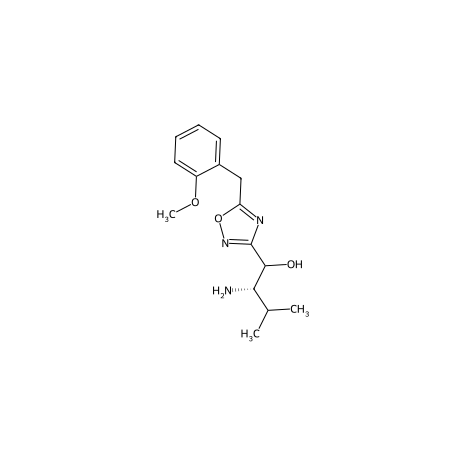 COc1ccccc1Cc1nc(C(O)[C@@H](N)C(C)C)no1